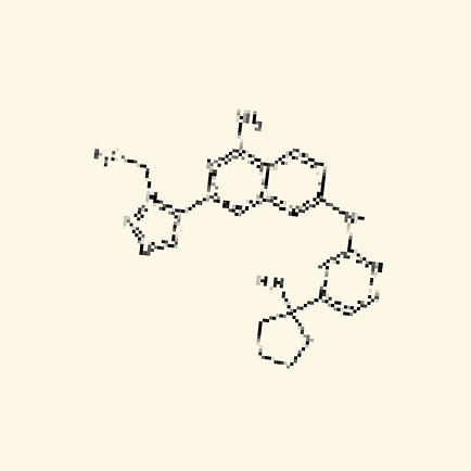 CCn1nncc1-c1cc2cc(Nc3cc(C4(N)CCCC4)ccn3)ncc2c(N)n1